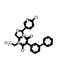 CCn1c([O-])c(-c2cccc(-c3ccccc3)c2)c(=O)[n+]2c1COC2c1ccc(Cl)nc1